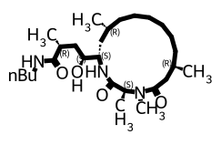 CCCCNC(=O)[C@H](C)C[C@H](O)[C@@H]1C[C@H](C)CCCCCC[C@@H](C)CC(=O)N(C)[C@@H](C)C(=O)N1